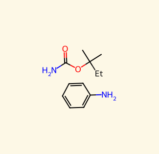 CCC(C)(C)OC(N)=O.Nc1ccccc1